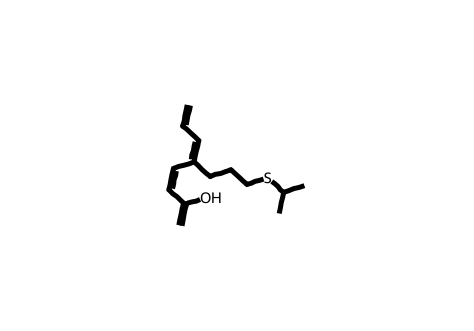 C=C/C=C(\C=C/C(=C)O)CCCSC(C)C